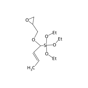 C/C=C/C(OCC1CO1)[Si](OCC)(OCC)OCC